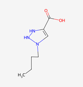 CCCCN1C=C(C(=O)O)NN1